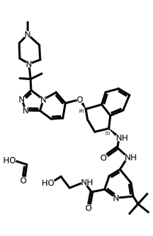 CN1CCN(C(C)(C)c2nnc3ccc(O[C@@H]4CC[C@H](NC(=O)Nc5cc(C(=O)NCCO)nc(C(C)(C)C)c5)c5ccccc54)cn23)CC1.O=CO